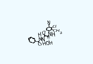 Cc1c(N[C@H](CO)C(=O)NNC(=O)c2ccccc2)ccc(C#N)c1Cl